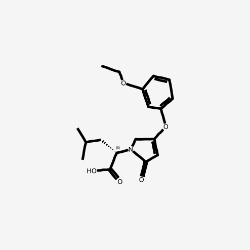 CCOc1cccc(OC2=CC(=O)N([C@@H](CC(C)C)C(=O)O)C2)c1